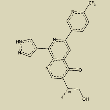 C[C@@H](CO)n1cnc2c(-c3cn[nH]c3)nc(-c3ccc(C(F)(F)F)nc3)cc2c1=O